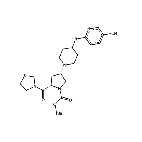 CC(C)(C)OC(=O)N1C[C@@H](N2CCC(Nc3ccc(C#N)cn3)CC2)C[C@H]1C(=O)N1CCSC1